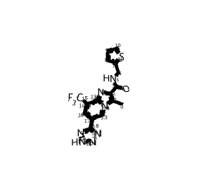 Cc1c(C(=O)NCc2cccs2)nc2c(C(F)(F)F)cc(-c3nn[nH]n3)cn12